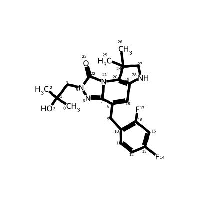 CC(C)(O)Cn1nc2c(Cc3ccc(F)cc3F)cc3c(n2c1=O)C(C)(C)CN3